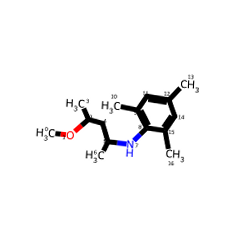 COC(C)CC(C)Nc1c(C)cc(C)cc1C